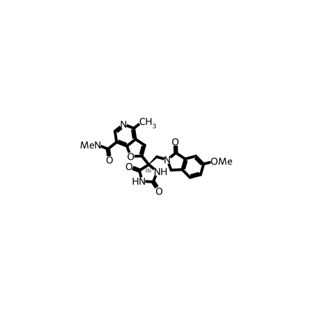 CNC(=O)c1cnc(C)c2cc([C@]3(CN4Cc5ccc(OC)cc5C4=O)NC(=O)NC3=O)oc12